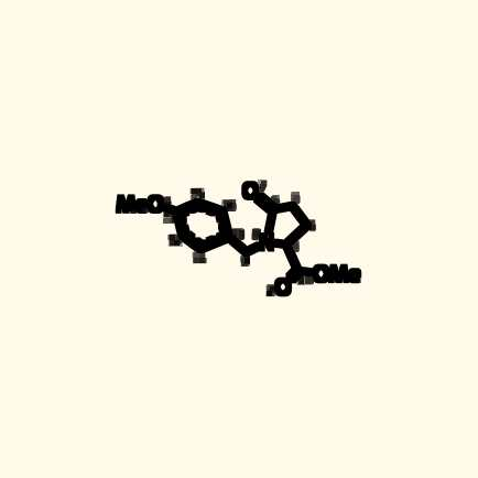 COC(=O)C1CCC(=O)N1Cc1ccc(OC)cc1